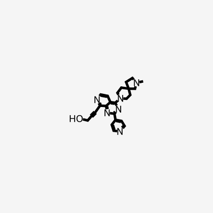 CN1CCC2(CCN(c3nc(-c4ccncc4)nc4c(C#CCO)nccc34)CC2)C1